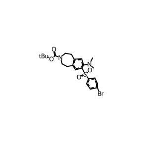 CN(C)c1cc2c(cc1S(=O)(=O)c1ccc(Br)cc1)CCN(C(=O)OC(C)(C)C)CC2